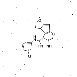 Clc1cccc(NC2=C3C(=COC4=C3C3CCOC3=C4)NN2)c1